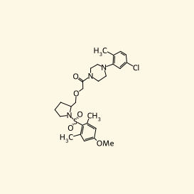 COc1cc(C)c(S(=O)(=O)N2CCCC2COCC(=O)N2CCN(c3cc(Cl)ccc3C)CC2)c(C)c1